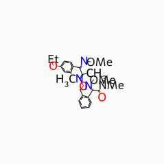 CCOc1ccc(C(=NOC)C(C)=NOCc2ccccc2C(=NOC)C(=O)NC)c(C)c1